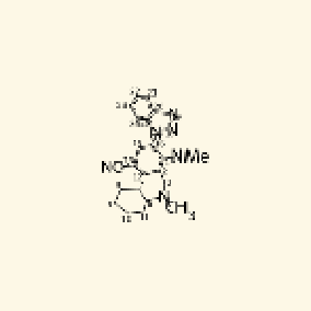 CNc1c(CN(C)C2CCCCC2)cc(C#N)cc1-n1nnc2ccccc21